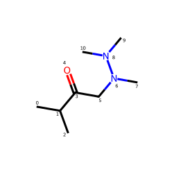 CC(C)C(=O)CN(C)N(C)C